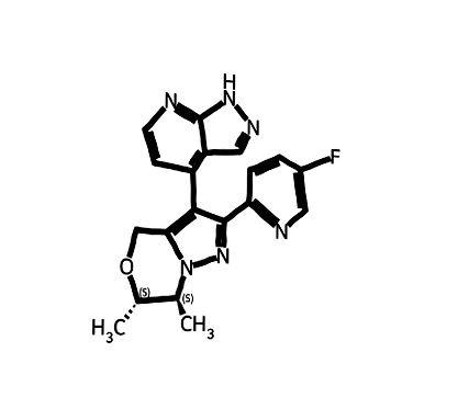 C[C@@H]1OCc2c(-c3ccnc4[nH]ncc34)c(-c3ccc(F)cn3)nn2[C@H]1C